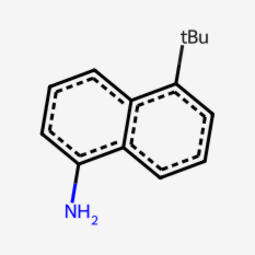 CC(C)(C)c1cccc2c(N)cccc12